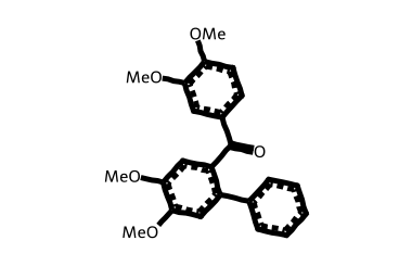 COc1ccc(C(=O)c2cc(OC)c(OC)cc2-c2ccccc2)cc1OC